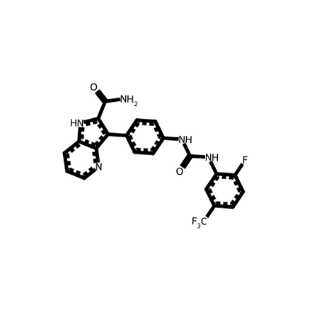 NC(=O)c1[nH]c2cccnc2c1-c1ccc(NC(=O)Nc2cc(C(F)(F)F)ccc2F)cc1